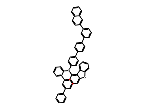 c1ccc(-c2cccc(-c3ccccc3N(c3ccc(-c4ccc(-c5cccc(-c6ccc7ccccc7c6)c5)cc4)cc3)c3cccc4sc5ccccc5c34)c2)cc1